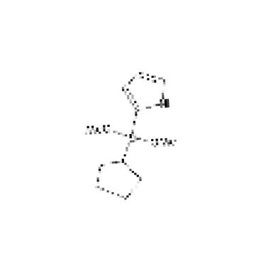 CO[Si](OC)(c1ccc[nH]1)C1CCCC1